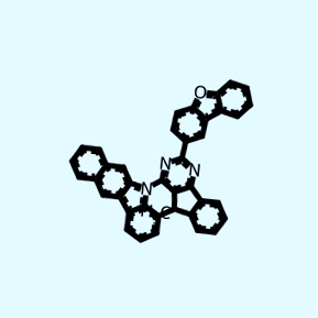 CC12c3ccccc3-c3nc(-c4ccc5oc6ccccc6c5c4)nc(c31)-n1c3cc4ccccc4cc3c3cccc2c31